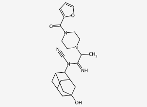 CC(C(=N)N(C#N)C1C2CC3CC1CC(O)(C3)C2)N1CCN(C(=O)c2ccco2)CC1